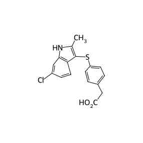 Cc1[nH]c2cc(Cl)ccc2c1Sc1ccc(CC(=O)O)cc1